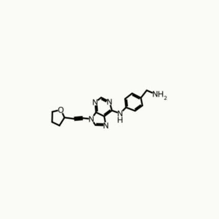 NCc1ccc(Nc2ncnc3c2ncn3C#CC2CCCO2)cc1